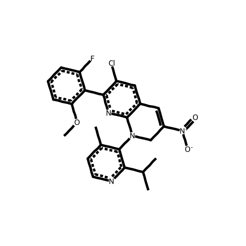 COc1cccc(F)c1-c1nc2c(cc1Cl)C=C([N+](=O)[O-])CN2c1c(C)ccnc1C(C)C